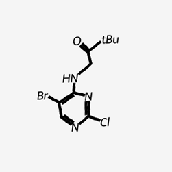 CC(C)(C)C(=O)CNc1nc(Cl)ncc1Br